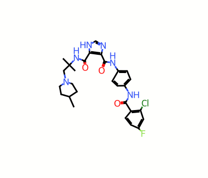 CC1CCN(CC(C)(C)NC(=O)c2[nH]cnc2C(=O)Nc2ccc(NC(=O)c3ccc(F)cc3Cl)cc2)CC1